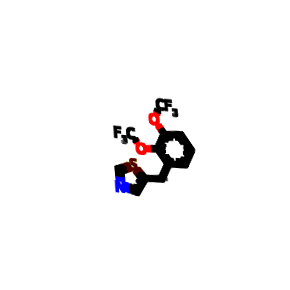 FC(F)(F)Oc1cccc([CH]c2cncs2)c1OC(F)(F)F